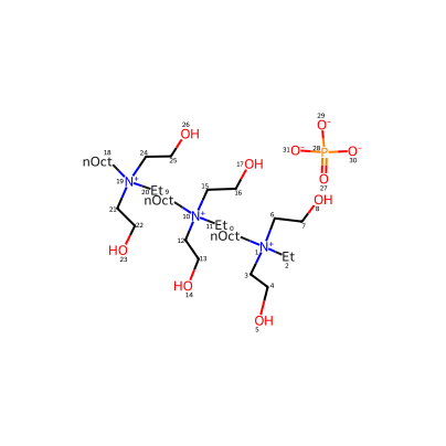 CCCCCCCC[N+](CC)(CCO)CCO.CCCCCCCC[N+](CC)(CCO)CCO.CCCCCCCC[N+](CC)(CCO)CCO.O=P([O-])([O-])[O-]